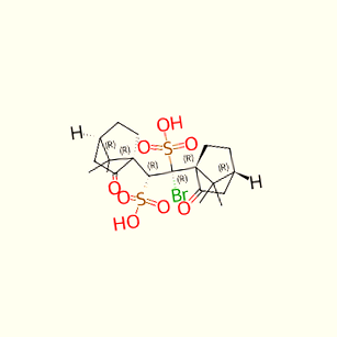 CC1(C)[C@@H]2CC[C@]1([C@@](Br)([C@@H]([C@@]13CC[C@H](CC1=O)C3(C)C)S(=O)(=O)O)S(=O)(=O)O)C(=O)C2